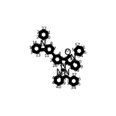 O=c1c2c3cc(-c4ccc5c(c4)c4ccccc4n5-c4ccccc4)ccc3n(-c3nc(-c4ccccc4)c4ccccc4n3)c2c2ccccc2n1-c1ccccc1